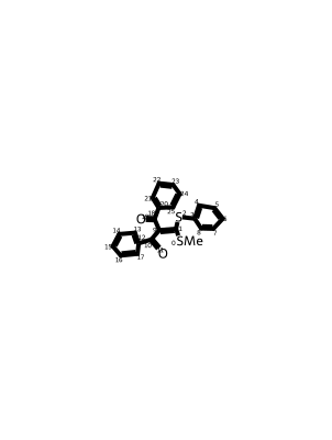 CSC(Sc1ccccc1)=C(C(=O)c1ccccc1)C(=O)c1ccccc1